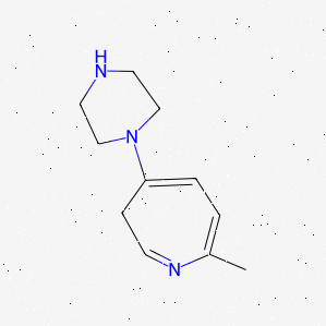 CC1=CC=C(N2CCNCC2)CC=N1